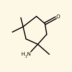 CC1(C)CC(=O)CC(C)(N)C1